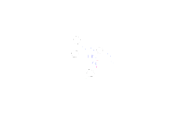 O=C(c1ccc(N2CCN(C(c3ccccc3)c3ccccc3)CC2)c(NC(=O)N(S)C(=O)c2ccc(Cl)cc2)c1)N1CCNCC1